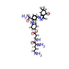 Cc1nn(-c2ccc(C(N)=O)c(NC3CCC(OC(=O)CCNC(=O)[C@@H](N)CCCN)CC3)c2)c2c1C(=O)CC(C)(C)C2